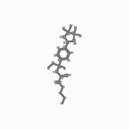 CCCCNC(=O)OC(C)(CC)c1ccc(B2OC(C)(C)C(C)(C)O2)cc1